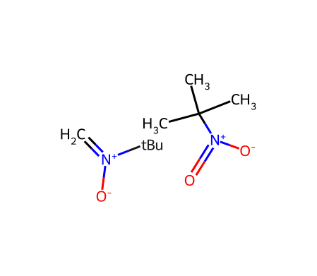 C=[N+]([O-])C(C)(C)C.CC(C)(C)[N+](=O)[O-]